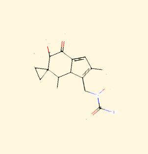 CC1=C(CN(O)C(N)=O)C2C(=C1)C(=O)[C@](C)(O)C1(CC1)C2C